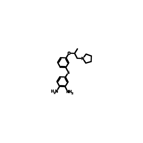 CC(CN1CCCC1)Oc1cccc(Sc2ccc(N)c(N)c2)c1